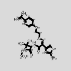 CC1(C)[C@H](NC(=O)C(=NOCCOc2ccc(C(=N)N)nc2)c2csc(N)n2)C(=O)N1OS(=O)(=O)O